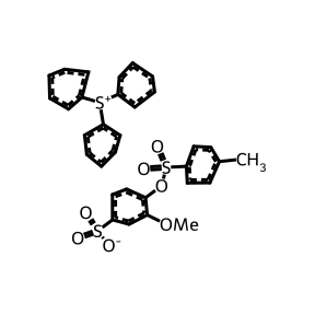 COc1cc(S(=O)(=O)[O-])ccc1OS(=O)(=O)c1ccc(C)cc1.c1ccc([S+](c2ccccc2)c2ccccc2)cc1